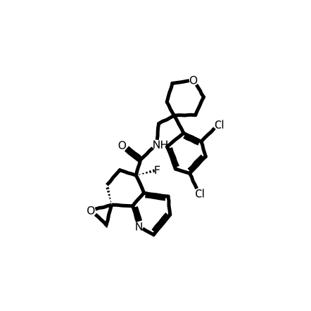 O=C(NCC1(c2ccc(Cl)cc2Cl)CCOCC1)[C@]1(F)CC[C@@]2(CO2)c2ncccc21